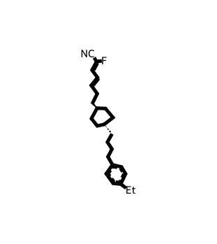 CCc1ccc(CCCC[C@H]2CC[C@H](CCC=CC=C(F)C#N)CC2)cc1